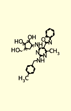 Cc1ccc(CNc2nc(C)c(-c3nc4ccccc4o3)c(N[C@@H]3C[C@H](CO)[C@@H](O)[C@H]3O)n2)cc1